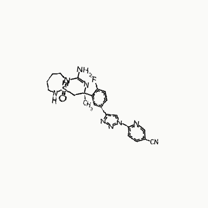 C[C@@]1(c2cc(-c3cn(-c4ccc(C#N)cn4)nn3)ccc2F)C[SH]2(=O)NCCCCN2C(N)=N1